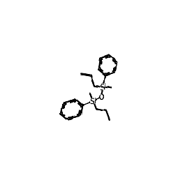 CCC[Si](C)(O[Si](C)(CCC)c1ccccc1)c1ccccc1